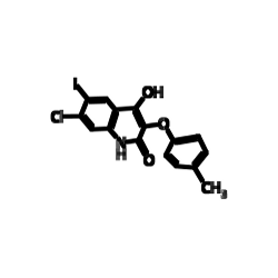 Cc1ccc(Oc2c(O)c3cc(I)c(Cl)cc3[nH]c2=O)cc1